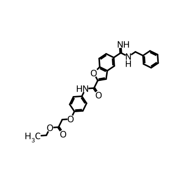 CCOC(=O)COc1ccc(NC(=O)c2cc3cc(C(=N)NCc4ccccc4)ccc3o2)cc1